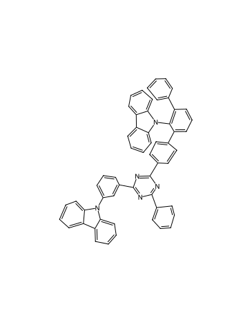 c1ccc(-c2nc(-c3ccc(-c4cccc(-c5ccccc5)c4-n4c5ccccc5c5ccccc54)cc3)nc(-c3cccc(-n4c5ccccc5c5ccccc54)c3)n2)cc1